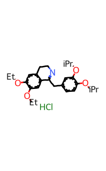 CCOc1cc2c(cc1OCC)C(Cc1ccc(OC(C)C)c(OC(C)C)c1)=NCC2.Cl